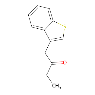 CCC(=O)Cc1csc2ccccc12